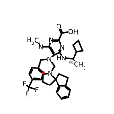 C=Nc1nc(C(=O)O)nc(N[C@H](C)C2CCC2)c1N(Cc1ccc(C(F)(F)F)cc1)CN1CCCC12CCc1ccccc12